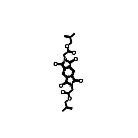 C=C(C)COC(=O)Cn1c(=O)c2cc3c(=O)n(CC(=O)OCC(=C)C)c(=O)c3cc2c1=O